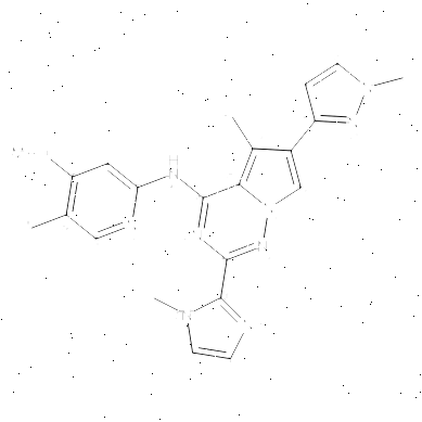 COc1cc(Nc2nc(-c3nccn3C)nn3cc(-c4ccn(C)n4)c(C)c23)ncc1C